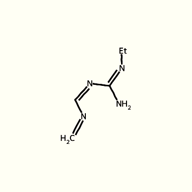 C=N/C=N\C(N)=N/CC